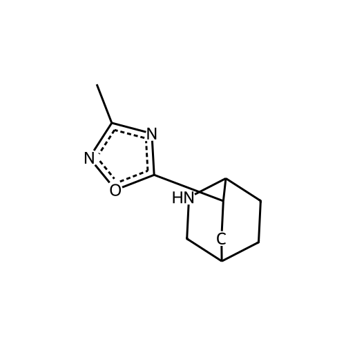 Cc1noc(C2CC3CCC2NC3)n1